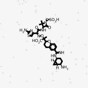 CC(ON=C(C(=O)NC1C(=O)N(OS(=O)(=O)O)C1(C)C)c1csc(N)n1)(C(=O)O)C1CCc2cc(C(=N)N[C@H]3CC[C@@H](N)[C@@H]4C[C@@H]43)ccc2O1